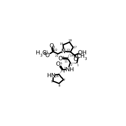 CC[C@H](NC(=O)[C@@H]1CCCN1)C(=O)[C@@]1(C(=O)O)CCCN1CC(=O)OC